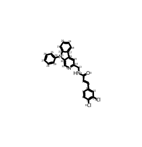 O=C(/C=C/c1ccc(Cl)c(Cl)c1)NCc1cc2c3ccccc3n(-c3ccccc3)c2cn1